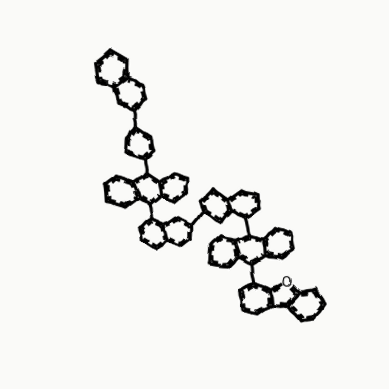 c1ccc2cc(-c3ccc(-c4c5ccccc5c(-c5cccc6ccc(-c7ccc8cccc(-c9c%10ccccc%10c(-c%10cccc%11c%10oc%10ccccc%10%11)c%10ccccc9%10)c8c7)cc56)c5ccccc45)cc3)ccc2c1